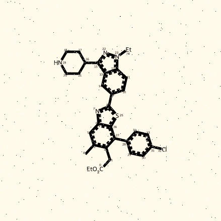 CCOC(=O)Cc1c(C)cc2nc(-c3ccc4c(c3)c(C3CCNCC3)nn4CC)sc2c1-c1ccc(Cl)cc1